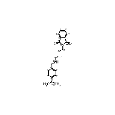 CN(C)c1ccc(CNCCCCN2C(=O)c3ccccc3C2=O)cc1